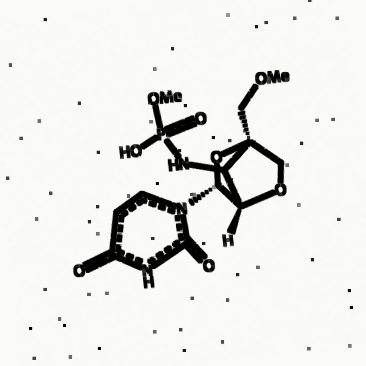 COC[C@]12CO[C@@H](C1NP(=O)(O)OC)[C@H](n1ccc(=O)[nH]c1=O)O2